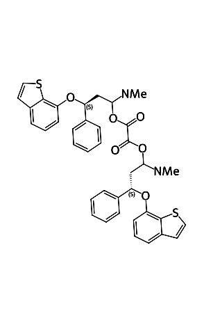 CNC(C[C@H](Oc1cccc2ccsc12)c1ccccc1)OC(=O)C(=O)OC(C[C@H](Oc1cccc2ccsc12)c1ccccc1)NC